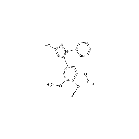 COc1cc(-c2cc(O)nn2-c2ccccc2)cc(OC)c1OC